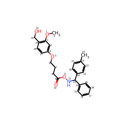 COc1cc(OCCCC(=O)ONC(c2ccccc2)c2ccc(C)cc2)ccc1CO